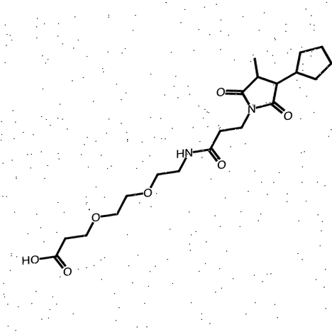 CC1C(=O)N(CCC(=O)NCCOCCOCCC(=O)O)C(=O)C1C1CCCC1